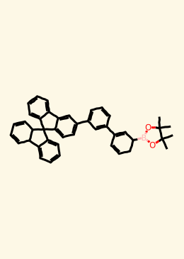 CC1(C)OB(C2C=C(c3cccc(-c4ccc5c(c4)-c4ccccc4C54c5ccccc5C5C=CC=CC54)c3)C=CC2)OC1(C)C